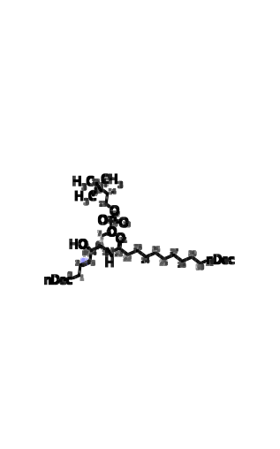 CCCCCCCCCCC/C=C/[C@@H](O)[C@H](COP(=O)([O-])OCC[N+](C)(C)C)NC(=O)CCCCCCCCCCCCCCCCCCC